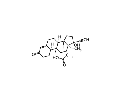 C#C[C@]1(O)CC[C@H]2[C@@H]3CCC4=CC(=O)CC[C@@H]4[C@H]3CC[C@@]21CC.CC(=O)O